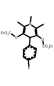 CCOC(=O)OC1=C(C)N(C)C(C)=C(OC(=O)OCC)C1c1ccc(F)cc1